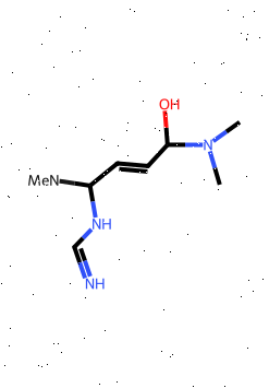 CNC(/C=C/C(O)N(C)C)NC=N